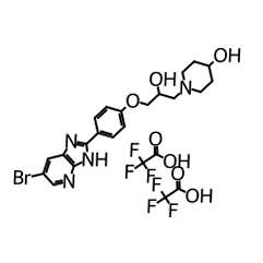 O=C(O)C(F)(F)F.O=C(O)C(F)(F)F.OC1CCN(CC(O)COc2ccc(-c3nc4cc(Br)cnc4[nH]3)cc2)CC1